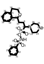 O=S(=O)(NOS(=O)(=O)C(CCC1OCCc2ccccc21)N1CCNCC1)c1ccccc1